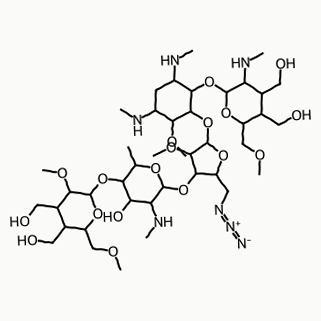 CNC1CC(NC)C(OC2OC(COC)C(CO)C(CO)C2NC)C(OC2OC(CN=[N+]=[N-])C(OC3OC(C)C(OC4OC(COC)C(CO)C(CO)C4OC)C(O)C3NC)C2OC)C1OC